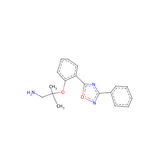 CC(C)(CN)Oc1ccccc1-c1nc(-c2ccccc2)no1